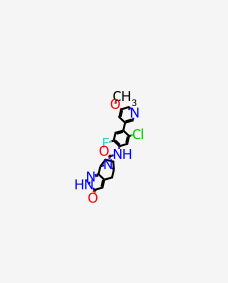 COc1cncc(-c2cc(F)c(NC(=O)N3C4CCC3c3n[nH]c(=O)cc3C4)cc2Cl)c1